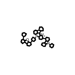 CC12c3ccccc3-c3cccc(c31)N(c1ccc(-c3cccc4c3oc3c(-c5ccccc5)cccc34)cc1)c1ccc(-c3cccc4c3c3ccccc3n4-c3ccccc3)cc12